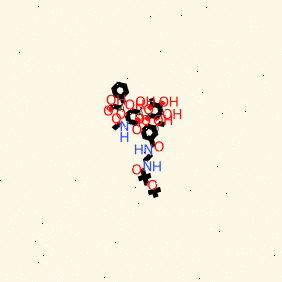 CC[C@@H]1CC(C(=O)NCCNC(=O)C(C)(C)COC(C)(C)C)CC(O[C@@H]2O[C@@H](CO)C(O)C(O[C@@H](CC3CCCCC3)C(=O)O)C2NC(C)=O)C1OC1OC(C)C(O)C(O)C1O